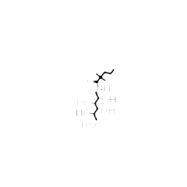 CCCC(C)(C)C(=O)NC[C@H](O)[C@@H](O)[C@H](O)[C@H](O)CO